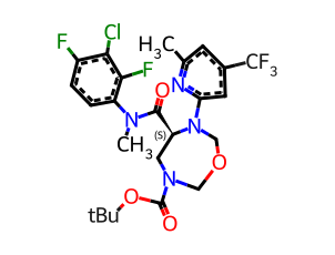 Cc1cc(C(F)(F)F)cc(N2COCN(C(=O)OC(C)(C)C)C[C@H]2C(=O)N(C)c2ccc(F)c(Cl)c2F)n1